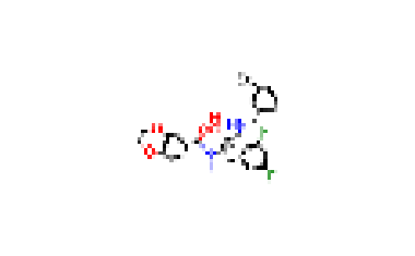 CCc1cccc(CNC[C@@H](O)[C@H](Cc2cc(F)cc(F)c2)NC(=O)c2ccc3c(c2)OCCO3)c1